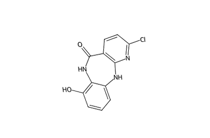 O=C1Nc2c(O)cccc2Nc2nc(Cl)ccc21